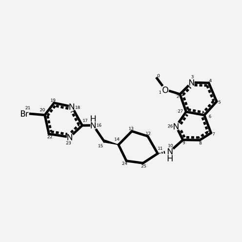 COc1nccc2ccc(N[C@H]3CC[C@H](CNc4ncc(Br)cn4)CC3)nc12